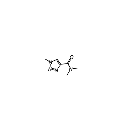 CN(C)C(=O)c1cn(C)nn1